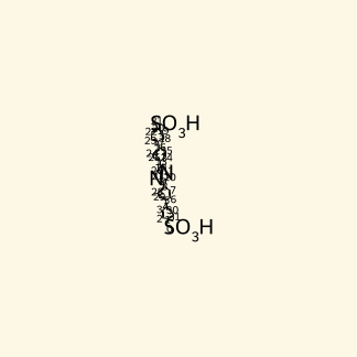 O=S(=O)(O)c1ccc(-c2ccc(-c3cnc(-c4ccc(-c5ccc(S(=O)(=O)O)cc5)cc4)cn3)cc2)cc1